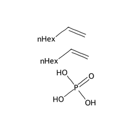 C=CCCCCCC.C=CCCCCCC.O=P(O)(O)O